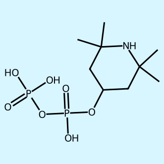 CC1(C)CC(OP(=O)(O)OP(=O)(O)O)CC(C)(C)N1